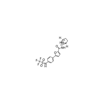 O=C(N[C@@H]1C[C@H]2CC[C@@H]1N2)c1ccc(-c2ccc(NS(=O)(=O)C(F)(F)F)cc2)o1